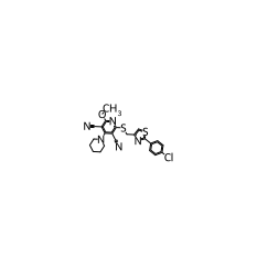 COc1nc(SCc2csc(-c3ccc(Cl)cc3)n2)c(C#N)c(N2CCCCC2)c1C#N